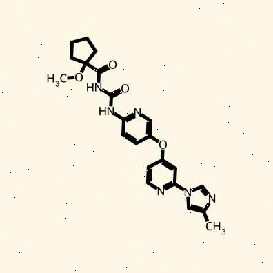 COC1(C(=O)NC(=O)Nc2ccc(Oc3ccnc(-n4cnc(C)c4)c3)cn2)CCCC1